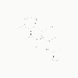 Cc1cccc2c(O)c(C(=O)N[C@@H](C)C(=O)O)c(=O)n(C)c12